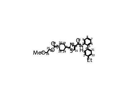 CCc1ccc(-c2ccccc2NC(=O)c2csc(C3CCN(C(=O)OCCOC)CC3)n2)cc1